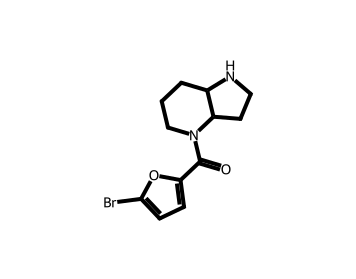 O=C(c1ccc(Br)o1)N1CCCC2NCCC21